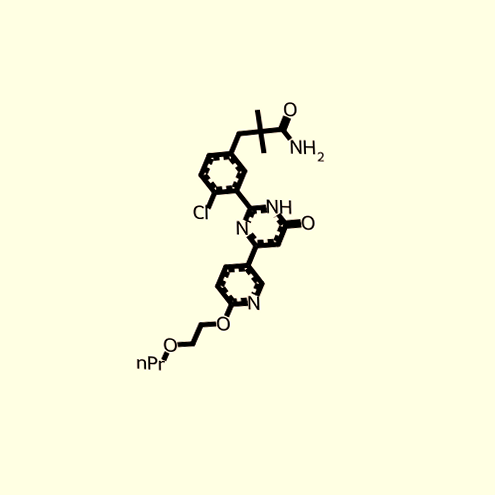 CCCOCCOc1ccc(-c2cc(=O)[nH]c(-c3cc(CC(C)(C)C(N)=O)ccc3Cl)n2)cn1